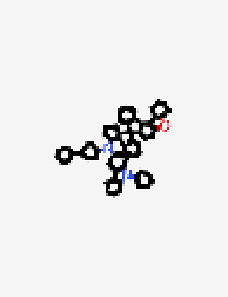 c1ccc(-c2ccc(N(c3ccc4c(c3)c3ccccc3n4-c3ccccc3)c3cccc4c3-c3ccccc3C43c4ccccc4-c4c3ccc3oc5ccccc5c43)cc2)cc1